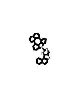 c1cc2c3c(cccc3c1)-c1cccc3c1c1c-2cccc1n3-c1ncc2sc3ccc4ccccc4c3c2n1